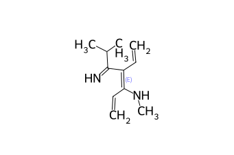 C=C/C(NC)=C(/C=C)C(=N)C(C)C